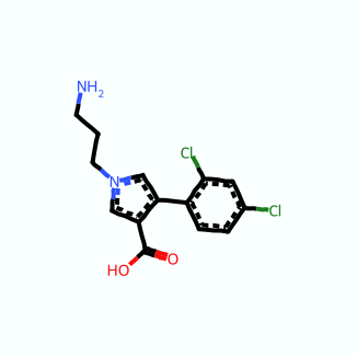 NCCCn1cc(C(=O)O)c(-c2ccc(Cl)cc2Cl)c1